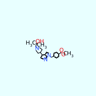 COC(=O)c1ccc(Cn2ccc3c(C4CCN(CC(C)(C)O)CC4)ccnc32)cc1